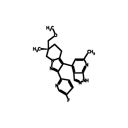 COC[C@]1(C)CCc2c(-c3cc(C)nc4[nH]ncc34)c(-c3ccc(F)cn3)nn2C1